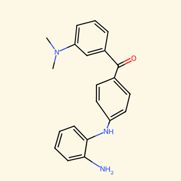 CN(C)c1cccc(C(=O)c2ccc(Nc3ccccc3N)cc2)c1